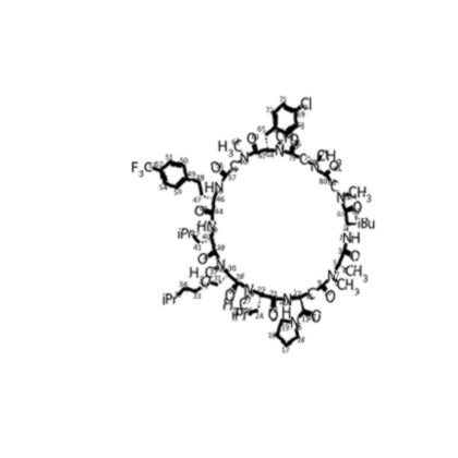 CC[C@H](C)[C@@H]1NC(=O)[C@H](C)N(C)C(=O)C[C@@H](C(=O)N2CCCC2)NC(=O)[C@H](CC(C)C)N(C)C(=O)[C@H](COCCC(C)C)N(C)C(=O)[C@H](CC(C)C)NC(=O)[C@H](CCc2ccc(C(F)(F)F)cc2)NC(=O)CN(C)C(=O)[C@H](Cc2ccc(Cl)cc2)N(C)C(=O)CN(C)C(=O)CN(C)C1=O